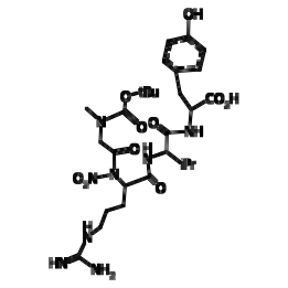 CC(C)C(NC(=O)C(CCCNC(=N)N)N(C(=O)CN(C)C(=O)OC(C)(C)C)[N+](=O)[O-])C(=O)NC(Cc1ccc(O)cc1)C(=O)O